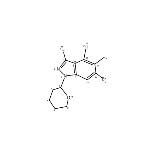 [2H]c1nn(C2CCCCO2)c2cc(Br)c(C)c([2H])c12